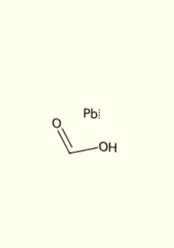 O=CO.[Pb]